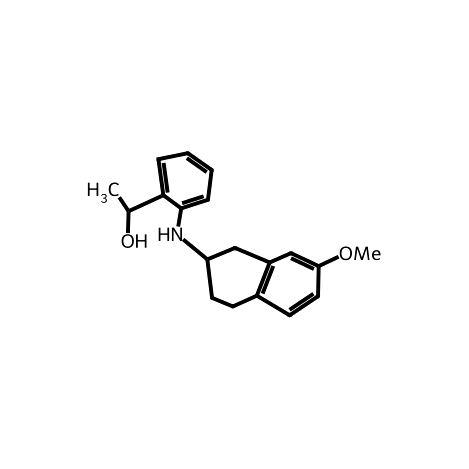 COc1ccc2c(c1)CC(Nc1ccccc1C(C)O)CC2